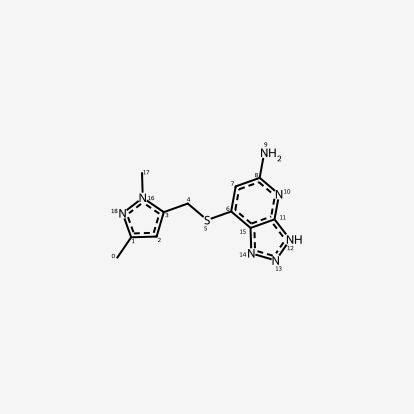 Cc1cc(CSc2cc(N)nc3[nH]nnc23)n(C)n1